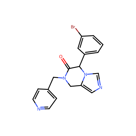 O=C1C(c2cccc(Br)c2)n2cncc2CN1Cc1ccncc1